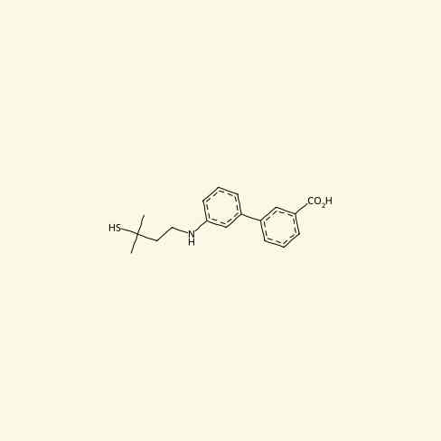 CC(C)(S)CCNc1cccc(-c2cccc(C(=O)O)c2)c1